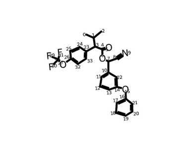 CC(C)C(C(=O)OC(C#N)c1cccc(Oc2ccccc2)c1)c1ccc(OC(F)(F)F)cc1